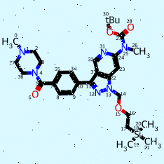 CN1CCN(C(=O)c2ccc(-c3nn(COCC[Si](C)(C)C)c4cc(N(C)C(=O)OC(C)(C)C)ncc34)cc2)CC1